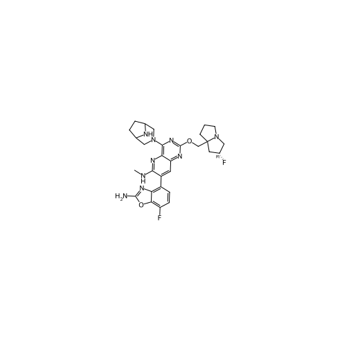 CNc1nc2c(N3CC4CCC(C3)N4)nc(OCC34CCCN3C[C@H](F)C4)nc2cc1-c1ccc(F)c2oc(N)nc12